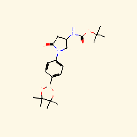 CC(C)(C)OC(=O)NC1CC(=O)N(c2ccc(B3OC(C)(C)C(C)(C)O3)cc2)C1